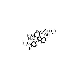 Cc1cc(-n2c3c(c4c(O)cccc42)[C@]2(C[C@H](CC(=O)O)C2)OCC3(C)C)ccc1F